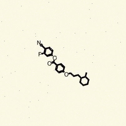 CC1CCCCC1CCCOc1ccc(C(=O)Oc2ccc(C#N)c(F)c2)cc1